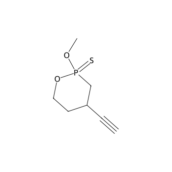 C#CC1CCOP(=S)(OC)C1